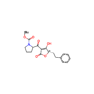 CC(C)(C)OC(=O)N1CCCC1C(=O)C1=C(O)[C@H](CCc2ccccc2)OC1=O